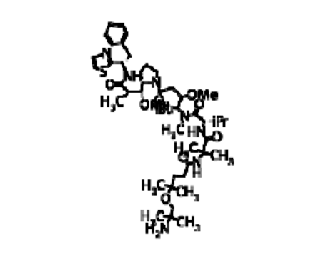 CC[C@H](C)[C@@H]([C@@H](CC(=O)N1CCC[C@H]1[C@H](OC)[C@@H](C)C(=O)N[C@@H](Cc1ccccc1)c1nccs1)OC)N(C)C(=O)[C@@H](NC(=O)C(C)(C)NC(=O)CCC(C)(C)OCC(C)(C)N)C(C)C